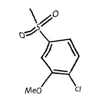 COc1cc(S(C)(=O)=O)ccc1Cl